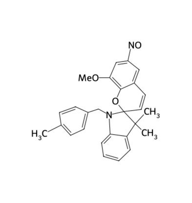 COc1cc(N=O)cc2c1OC1(C=C2)N(Cc2ccc(C)cc2)c2ccccc2C1(C)C